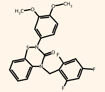 COc1ccc(N2Sc3ccccc3N(Cc3c(F)cc(F)cc3F)C2=O)cc1OC